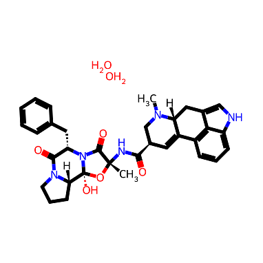 CN1C[C@H](C(=O)N[C@]2(C)O[C@@]3(O)[C@@H]4CCCN4C(=O)[C@H](Cc4ccccc4)N3C2=O)C=C2c3cccc4[nH]cc(c34)C[C@H]21.O.O